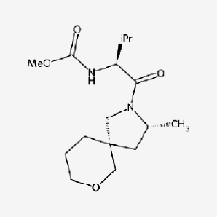 COC(=O)N[C@H](C(=O)N1C[C@]2(CCCOC2)C[C@H]1C)C(C)C